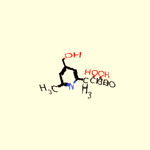 Cc1cc(CO)cc(C)n1.O=CO.O=CO